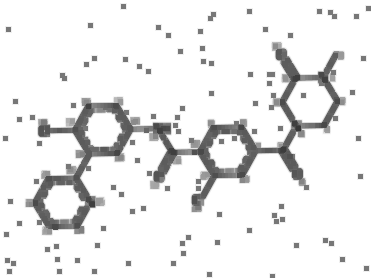 CN1CCN(C(=O)c2ccc(C(=O)Nc3ccc(Cl)c(-c4ccccn4)c3)c(Cl)c2)CC1=O